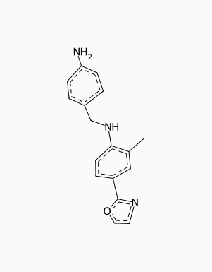 Cc1cc(-c2ncco2)ccc1NCc1ccc(N)cc1